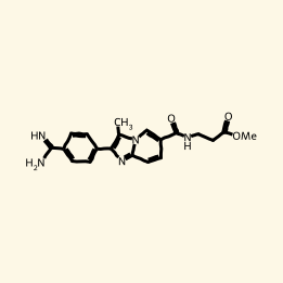 COC(=O)CCNC(=O)c1ccc2nc(-c3ccc(C(=N)N)cc3)c(C)n2c1